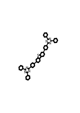 c1ccc(-c2nc(-c3ccccc3)nc(-c3ccc(-c4ccc5c(c4)sc4cc(-c6ccc(-c7nc(-c8ccccc8)nc(-c8ccccc8)n7)cc6)ccc45)cc3)n2)cc1